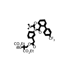 CCOC(=O)C(COC(=O)Cc1cccc(N(C(=O)c2ccccc2-c2ccc(C(F)(F)F)cc2)C(=O)N(C)C)c1)(C(=O)OCC)C(C)CC